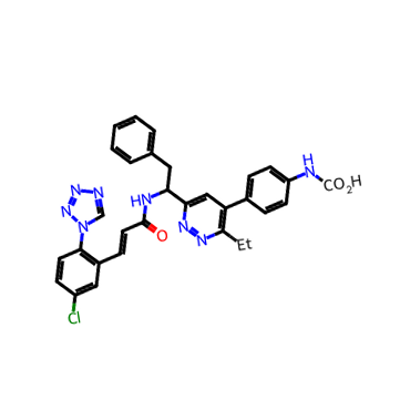 CCc1nnc(C(Cc2ccccc2)NC(=O)C=Cc2cc(Cl)ccc2-n2cnnn2)cc1-c1ccc(NC(=O)O)cc1